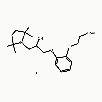 COCCOc1ccccc1OCC(O)CN1C(C)(C)CCC1(C)C.Cl